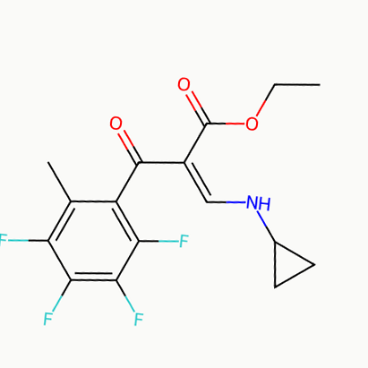 CCOC(=O)C(=CNC1CC1)C(=O)c1c(C)c(F)c(F)c(F)c1F